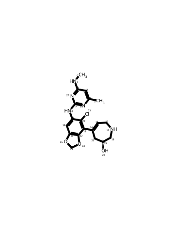 CNc1cc(C)nc(Nc2cc3c(c(C4=CCNC[C@@H](O)C4)c2Cl)OCO3)n1